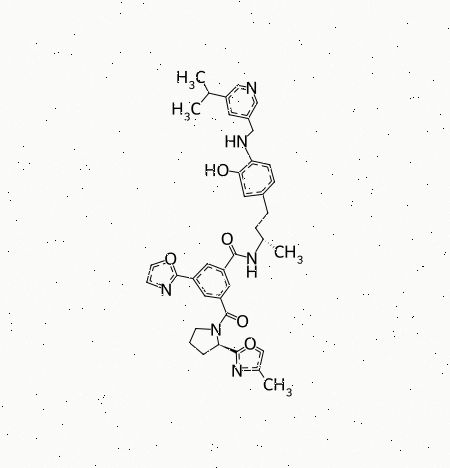 Cc1coc([C@H]2CCCN2C(=O)c2cc(C(=O)N[C@@H](C)CCc3ccc(NCc4cncc(C(C)C)c4)c(O)c3)cc(-c3ncco3)c2)n1